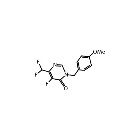 COc1ccc(Cn2cnc(C(F)F)c(F)c2=O)cc1